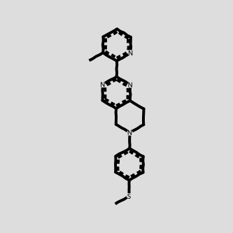 CSc1ccc(N2CCc3nc(-c4ncccc4C)ncc3C2)cc1